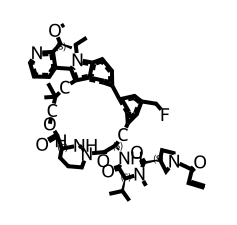 C=CC(=O)N1CC[C@H](C(=O)N(C)[C@H](C(=O)N[C@H]2Cc3cc(CF)cc(c3)-c3ccc4c(c3)c(c(-c3cccnc3[C@H](C)OC)n4CC)CC(C)(C)COC(=O)[C@@H]3CCCN(N3)C2=O)C(C)C)C1